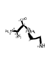 NCCNC(C=O)=C(N)N